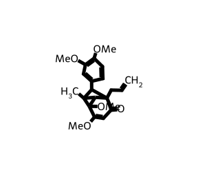 C=CCC12C(=O)C=C(OC)C3(OC)C1C3(C)C2c1ccc(OC)c(OC)c1